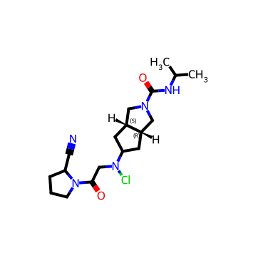 CC(C)NC(=O)N1C[C@H]2CC(N(Cl)CC(=O)N3CCCC3C#N)C[C@H]2C1